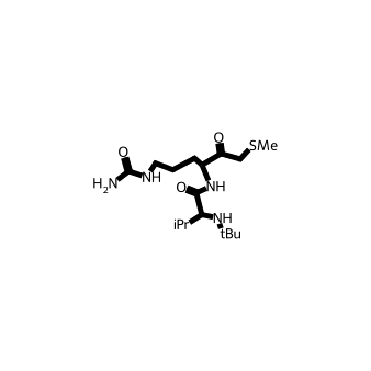 CSCC(=O)C(CCCNC(N)=O)NC(=O)C(NC(C)(C)C)C(C)C